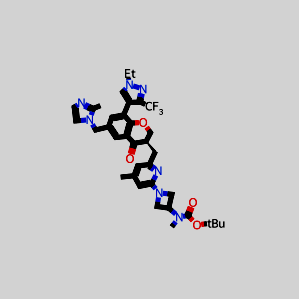 CCn1cc(-c2cc(Cn3ccnc3C)cc3c2OC[C@@H](Cc2cc(C)cc(N4CC(N(C)C(=O)OC(C)(C)C)C4)n2)C3=O)c(C(F)(F)F)n1